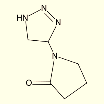 O=C1CCCN1C1CNN=N1